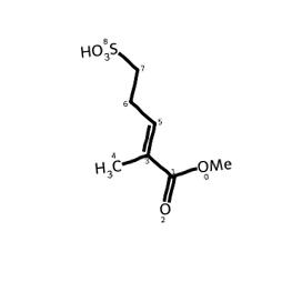 COC(=O)C(C)=CCCS(=O)(=O)O